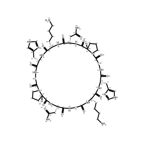 NCCCC[C@@H]1NC(=O)CNC(=O)[C@H](CC(N)=O)NC(=O)[C@@H]2CCCN2C(=O)CNC(=O)[C@H](Cc2c[nH]cn2)NC(=O)[C@H](CCCCN)NC(=O)[C@H](CC(N)=O)NC(=O)[C@@H]2CCCN2C(=O)CNC(=O)[C@H](Cc2c[nH]cn2)NC1=O